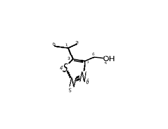 CC(C)c1snnc1CO